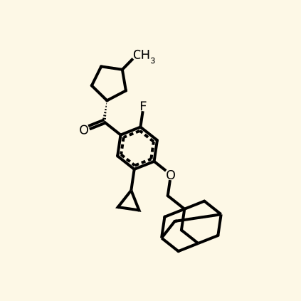 CC1CC[C@@H](C(=O)c2cc(C3CC3)c(OCC34CC5CC(CC(C5)C3)C4)cc2F)C1